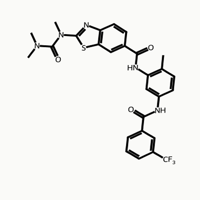 Cc1ccc(NC(=O)c2cccc(C(F)(F)F)c2)cc1NC(=O)c1ccc2nc(N(C)C(=O)N(C)C)sc2c1